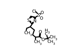 CCC(CCC(C)C(=O)OC(C)(C)C)c1nc(S(=O)(=O)Cl)cs1